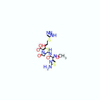 CON=C(C(=O)NC1SC(/C=C/CSc2cnn[nH]2)=C(C(=O)O)N2C(=O)CC12)c1csc(N)n1